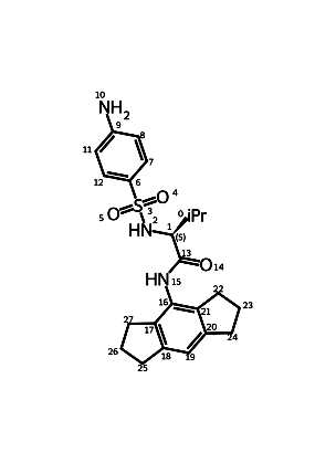 CC(C)[C@H](NS(=O)(=O)c1ccc(N)cc1)C(=O)Nc1c2c(cc3c1CCC3)CCC2